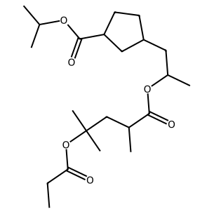 CCC(=O)OC(C)(C)CC(C)C(=O)OC(C)CC1CCC(C(=O)OC(C)C)C1